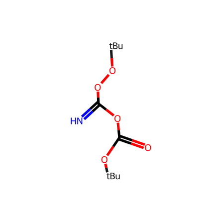 CC(C)(C)OOC(=N)OC(=O)OC(C)(C)C